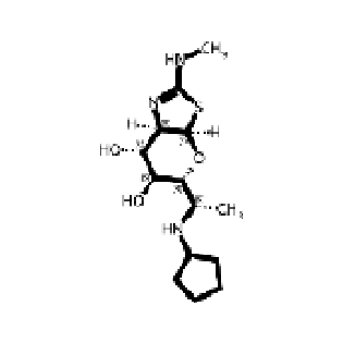 CNC1=N[C@@H]2[C@@H](O)[C@H](O)[C@@H]([C@H](C)NC3CCCC3)O[C@@H]2S1